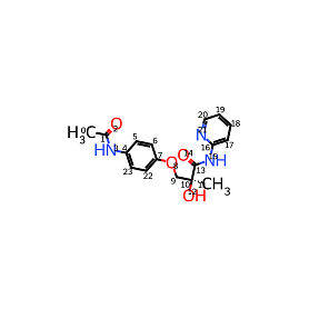 CC(=O)Nc1ccc(OC[C@](C)(O)C(=O)Nc2ccccn2)cc1